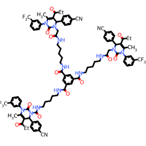 CCC(=O)C1=C(C)N(c2cccc(C(F)(F)F)c2)C(=O)N(CC(=O)NCCCCCNC(=O)c2cc(C(=O)NCCCCCNC(=O)CN3C(=O)N(c4cccc(C(F)(F)F)c4)C(C)=C(C(=O)CC)C3c3ccc(C#N)cc3)cc(C(=O)NCCCCCNC(=O)N3C(=O)N(c4cccc(C(F)(F)F)c4)C(C)=C(C(=O)CC)C3c3ccc(C#N)cc3)c2)C1c1ccc(C#N)cc1